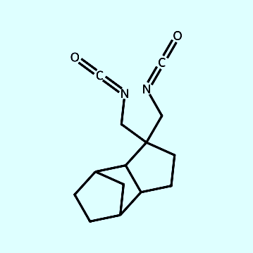 O=C=NCC1(CN=C=O)CCC2C3CCC(C3)C21